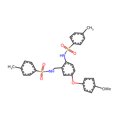 COc1ccc(Oc2ccc(NS(=O)(=O)c3ccc(C)cc3)c(CNS(=O)(=O)c3ccc(C)cc3)c2)cc1